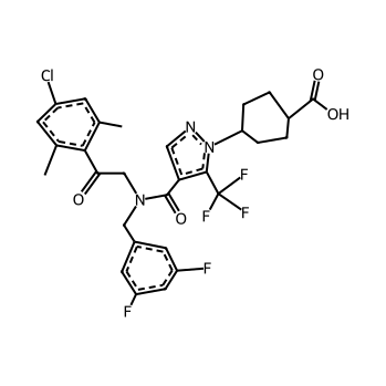 Cc1cc(Cl)cc(C)c1C(=O)CN(Cc1cc(F)cc(F)c1)C(=O)c1cnn(C2CCC(C(=O)O)CC2)c1C(F)(F)F